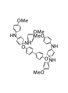 COc1ccc(NC2=CCC(Nc3ccc(OC)cc3)(Oc3ccc(-c4ccc(OC5(Nc6ccc(OC)cc6)C=CC(Nc6ccc(OC)cc6)=CC5)cc4)cc3)C=C2)cc1